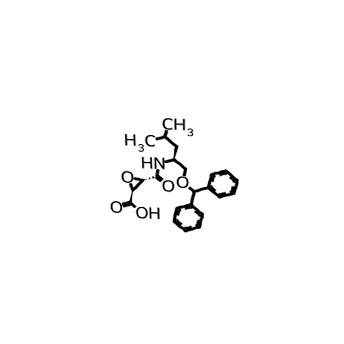 CC(C)C[C@@H](COC(c1ccccc1)c1ccccc1)NC(=O)[C@H]1O[C@@H]1C(=O)O